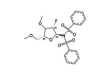 COC[C@H]1O[C@H](N(S(=O)(=O)c2ccccc2)S(=O)(=O)c2ccccc2)[C@@H](F)C1OC